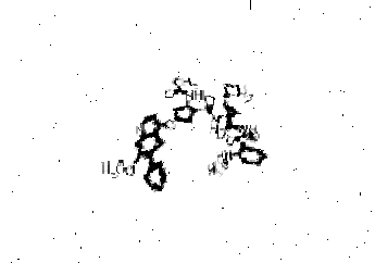 C=C[C@@H]1C[C@]1(NC(=O)[C@@H]1C[C@@H](Oc2ccnc3cc(OC)c(-c4ccccc4)cc23)C[C@@H]1NC(C)=O)C(=O)NS(=O)(=O)c1ccccc1NC